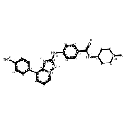 CCCc1ccc(-c2cccn3nc(Nc4ccc(C(=O)NC5CCN(C)CC5)cc4)nc23)cc1